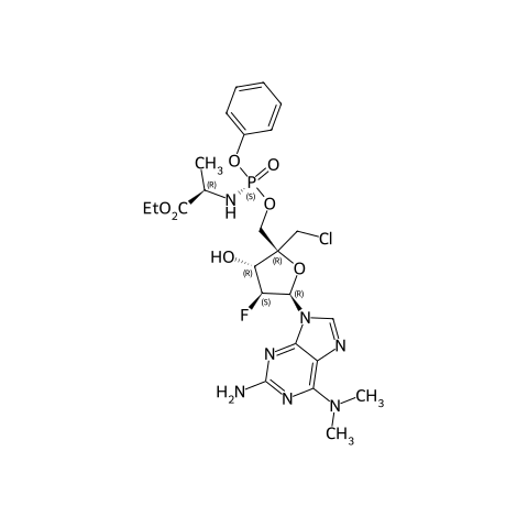 CCOC(=O)[C@@H](C)N[P@](=O)(OC[C@@]1(CCl)O[C@@H](n2cnc3c(N(C)C)nc(N)nc32)[C@@H](F)[C@@H]1O)Oc1ccccc1